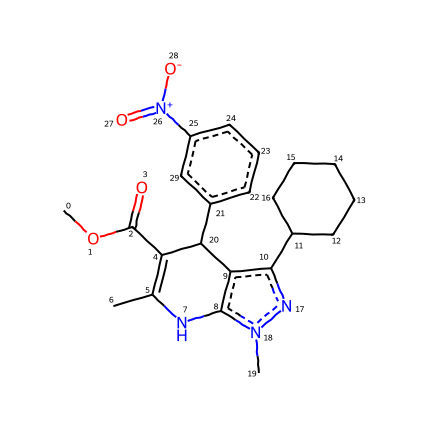 COC(=O)C1=C(C)Nc2c(c(C3CCCCC3)nn2C)C1c1cccc([N+](=O)[O-])c1